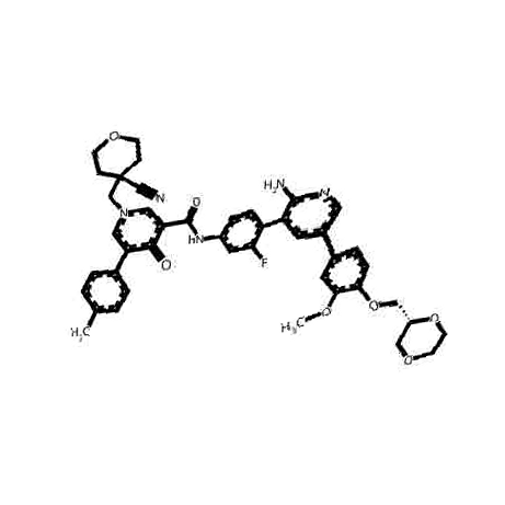 COc1cc(-c2cnc(N)c(-c3ccc(NC(=O)c4cn(CC5(C#N)CCOCC5)cc(-c5ccc(C)cc5)c4=O)cc3F)c2)ccc1OC[C@H]1COCCO1